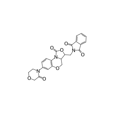 O=C1c2ccccc2C(=O)N1CC1OC(=O)N2c3ccc(N4CCOCC4=O)cc3OCC12